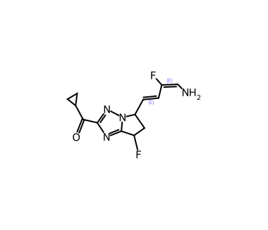 N/C=C(F)\C=C\C1CC(F)c2nc(C(=O)C3CC3)nn21